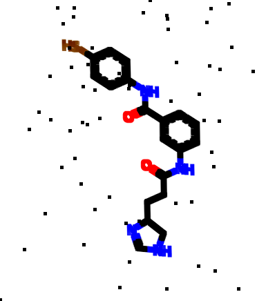 O=C(CCC1CNC=N1)Nc1cccc(C(=O)Nc2ccc(S)cc2)c1